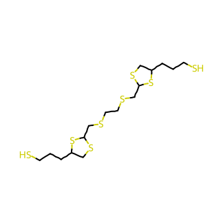 SCCCC1CSC(CSCCSCC2SCC(CCCS)S2)S1